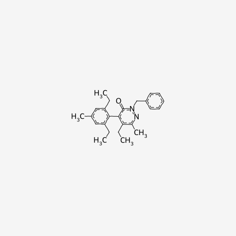 CCc1cc(C)cc(CC)c1-c1c(CC)c(C)nn(Cc2ccccc2)c1=O